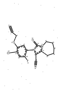 C#CCOc1cc(-n2c(C#N)c3n(c2=O)CCCCC3)c(F)cc1Cl